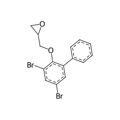 Brc1cc(Br)c(OCC2CO2)c(-c2ccccc2)c1